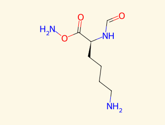 NCCCC[C@H](NC=O)C(=O)ON